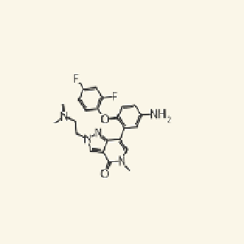 CN(C)CCn1cc2c(=O)n(C)cc(-c3cc(N)ccc3Oc3ccc(F)cc3F)c2n1